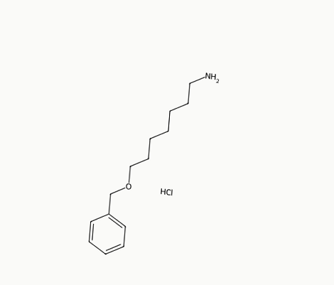 Cl.NCCCCCCCOCc1ccccc1